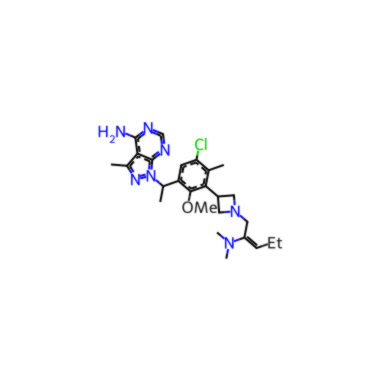 CC/C=C(\CN1CC(c2c(C)c(Cl)cc(C(C)n3nc(C)c4c(N)ncnc43)c2OC)C1)N(C)C